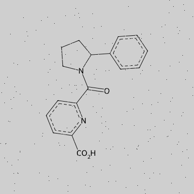 O=C(O)c1cccc(C(=O)N2CCCC2c2ccccc2)n1